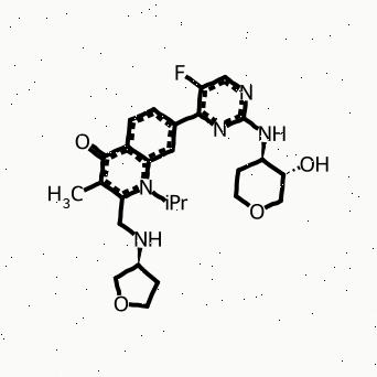 Cc1c(CN[C@H]2CCOC2)n(C(C)C)c2cc(-c3nc(N[C@@H]4CCOC[C@H]4O)ncc3F)ccc2c1=O